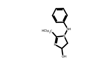 CC1=NC(O)CN1Nc1ccccc1.Cl